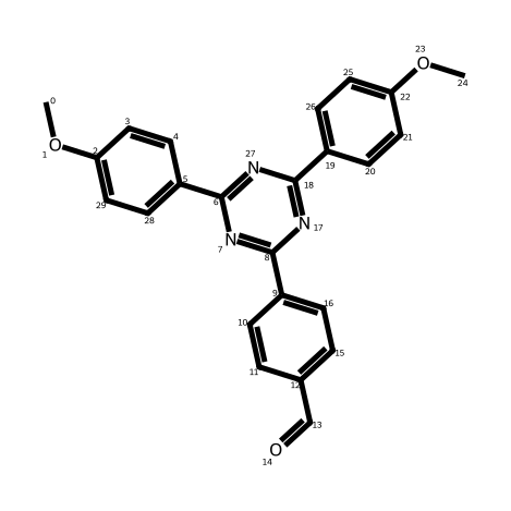 COc1ccc(-c2nc(-c3ccc(C=O)cc3)nc(-c3ccc(OC)cc3)n2)cc1